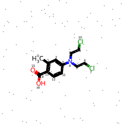 Cc1cc(N(CCCl)CCCl)ccc1C(=O)O